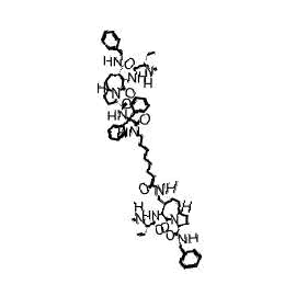 CC[C@H](NC)C(=O)N[C@@H]1C(=O)N2[C@@H](CC[C@@H]1CNC(=O)CCCCCCCNC(=O)C(NC(=O)[C@@H]1CC[C@@H]3CC[C@H](CNCc4ccccc4)[C@H](NC(=O)[C@H](CC)NC)C(=O)N31)(c1ccccc1)c1ccccc1)CC[C@H]2C(=O)NCc1ccccc1